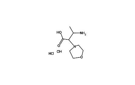 CC(N)C(C(=O)O)N1CCOCC1.Cl.Cl